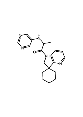 CC(Nc1cncnc1)C(=O)NCC1(c2ccccn2)CCCCC1